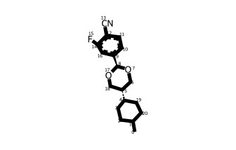 CC1CCC([C@H]2CO[C@H](c3ccc(C#N)c(F)c3)OC2)CC1